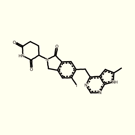 Cc1cc2c(Cc3cc4c(cc3I)CN(C3CCC(=O)NC3=O)C4=O)ncnc2[nH]1